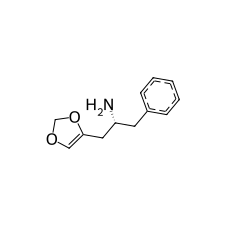 N[C@@H](CC1=COCO1)Cc1ccccc1